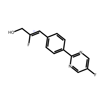 OC/C(F)=C/c1ccc(-c2ncc(F)cn2)cc1